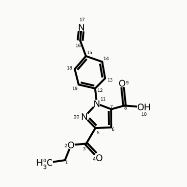 CCOC(=O)c1cc(C(=O)O)n(-c2ccc(C#N)cc2)n1